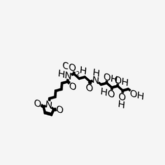 O=C(CCC(NC(=O)CCCCCN1C(=O)C=CC1=O)C(=O)O)NCC(O)C(O)C(O)C(O)CO